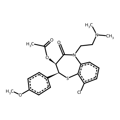 COc1ccc([C@@H]2Sc3c(Cl)cccc3N(CCN(C)C)C(=O)[C@@H]2OC(C)=O)cc1